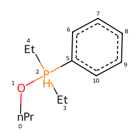 CCCO[PH](CC)(CC)c1ccccc1